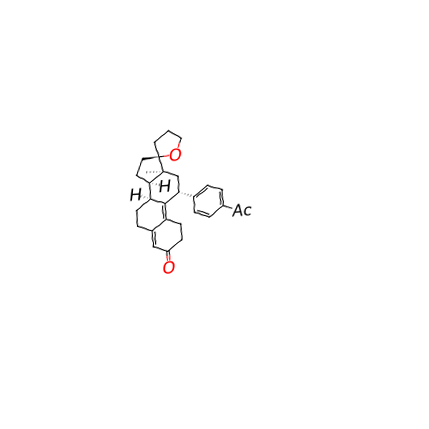 CC(=O)c1ccc([C@H]2C[C@@]3(C)[C@H](CC[C@]34CCCO4)[C@@H]3CCC4=CC(=O)CCC4=C32)cc1